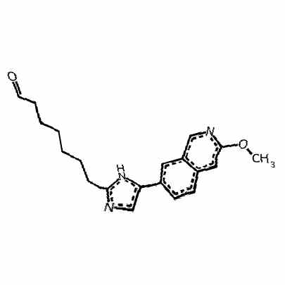 COc1cc2ccc(-c3cnc(CCCCCCC=O)[nH]3)cc2cn1